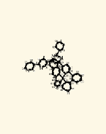 c1ccc(-c2nc(-c3ccc(-c4cccnc4)nc3)cc(-c3ccc4c(c3)C3(c5ccccc5-c5ccccc5-4)c4ccccc4-c4cc5ccccc5cc43)n2)cc1